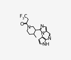 CC1CCN(C(=O)CC(F)(F)F)CC1c1ncc2cnc3[nH]ccc3n12